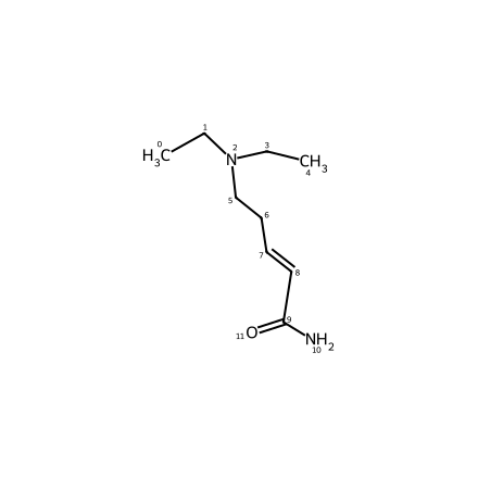 CCN(CC)CCC=CC(N)=O